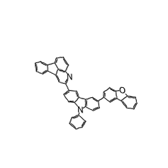 c1ccc(-n2c3ccc(-c4ccc5oc6ccccc6c5c4)cc3c3cc(-c4cc5c6c(cccc6n4)-c4ccccc4-5)ccc32)cc1